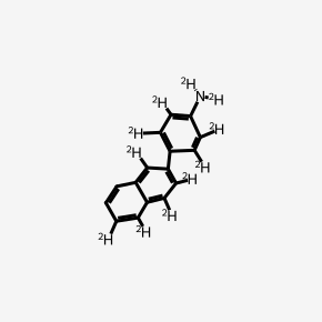 [2H]c1ccc2c([2H])c(-c3c([2H])c([2H])c(N([2H])[2H])c([2H])c3[2H])c([2H])c([2H])c2c1[2H]